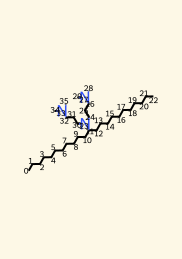 CCCCCCCCCCCC(CCCCCCCCCCC)N(CCCN(C)C)CCCN(C)C